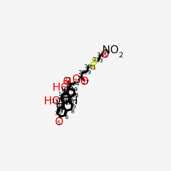 C[C@]12C=CC(=O)C=C1CC[C@@H]1[C@@H]2[C@@H](O)C[C@@]2(C)[C@H]1CC[C@]2(O)C(=O)COC(=O)CCCSSCCO[N+](=O)[O-]